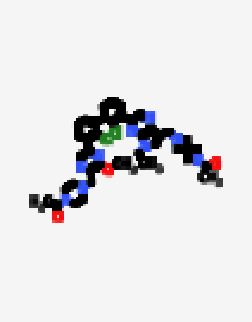 CCn1cc(CN2CC3(C2)CN(C(C)=O)C3)c2ncc(-c3cccc(-c4cccc(-c5cnc(CN6CCN(C(C)=O)CC6)c(OC)n5)c4Cl)c3Cl)nc21